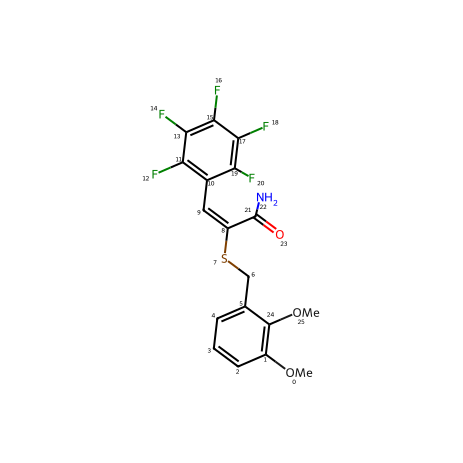 COc1cccc(CS/C(=C/c2c(F)c(F)c(F)c(F)c2F)C(N)=O)c1OC